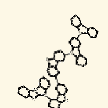 c1ccc2c(c1)nc1n(-c3cccc4oc5ccc(-c6ccc7oc8ccc(-n9c%10ccccc%10c%10cc(-n%11c%12ccccc%12c%12ccccc%12%11)ccc%109)cc8c7c6)cc5c34)c3ccccc3n21